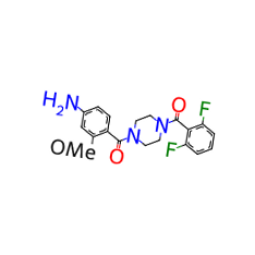 COc1cc(N)ccc1C(=O)N1CCN(C(=O)c2c(F)cccc2F)CC1